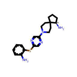 Nc1ccccc1Sc1cnc(N2CCC3(CCC[C@H]3N)CC2)cn1